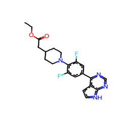 CCOC(=O)CC1CCN(c2c(F)cc(-c3ncnc4[nH]ccc34)cc2F)CC1